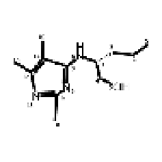 CCC[C@H](CO)Nc1nc(C)nc(C)c1C